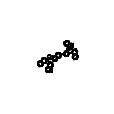 O=P(c1ccc2ccccc2c1)(c1ccc2cc(-c3ccc4c5c6ccccc6ccc5c5nc6ccccc6n5c4c3)ccc2c1)c1ccc2ncccc2c1